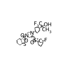 C[C@@](O)(c1ccc(N2CCN(S(=O)(=O)C3=CC=CCC3=S)C[C@@H]2C[S@+]([O-])c2cccc(F)c2)cc1)C(F)(F)F